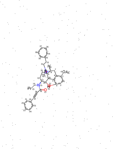 CC(=O)Oc1ccc2c3c1C[C@@H]1[C@@H]4CC[C@H](N(CC(C)C)C(=O)C#Cc5ccccc5)[C@H](O2)[C@]34CCN1CCc1ccccc1